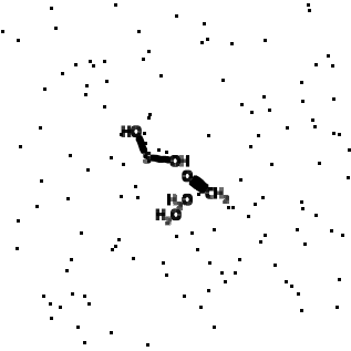 C=O.O.O.OSO